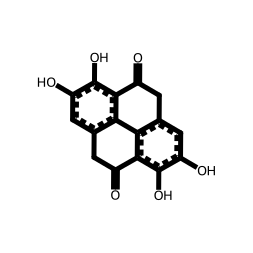 O=C1Cc2cc(O)c(O)c3c2-c2c(cc(O)c(O)c21)CC3=O